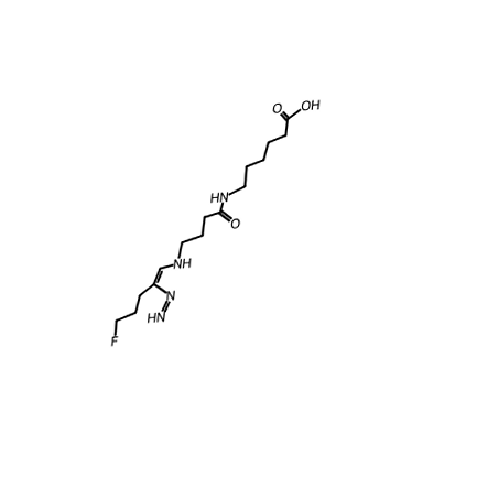 N=N/C(=C\NCCCC(=O)NCCCCCC(=O)O)CCCF